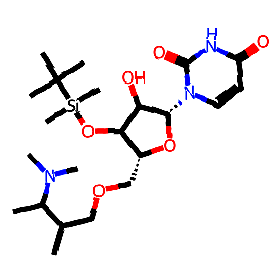 CC(COC[C@H]1O[C@@H](n2ccc(=O)[nH]c2=O)C(O)C1O[Si](C)(C)C(C)(C)C)C(C)N(C)C